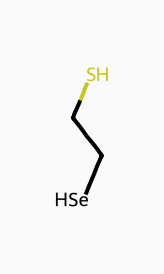 SCC[SeH]